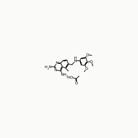 CC(=O)O.COc1cc(NCc2ccc3nc(N)nc(N)c3c2C)cc(OC)c1OC